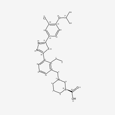 CCc1c(CN2CCC[C@H](C(=O)O)C2)cccc1-c1nnc(-c2ccc(OC(C)C)c(Cl)c2)s1